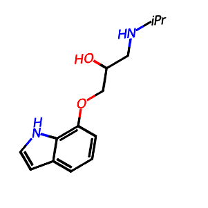 CC(C)NCC(O)COc1cccc2cc[nH]c12